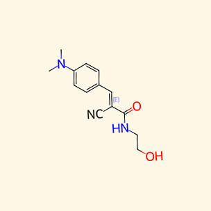 CN(C)c1ccc(/C=C(\C#N)C(=O)NCCO)cc1